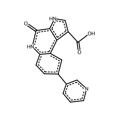 O=C(O)c1c[nH]c2c(=O)[nH]c3ccc(-c4cccnc4)cc3c12